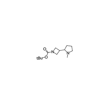 CN1CCCC1C1CN(C(=O)OC(C)(C)C)C1